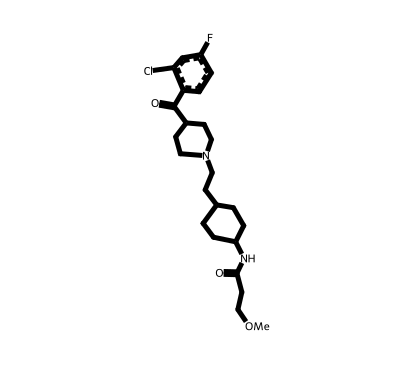 COCCC(=O)NC1CCC(CCN2CCC(C(=O)c3ccc(F)cc3Cl)CC2)CC1